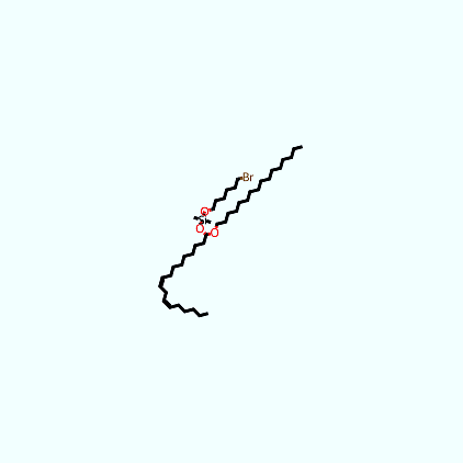 CCCCC/C=C\C/C=C\CCCCCCCC(OCCCCCCCCCCCCCCCC)O[Si](C)(C)OCCCCCCBr